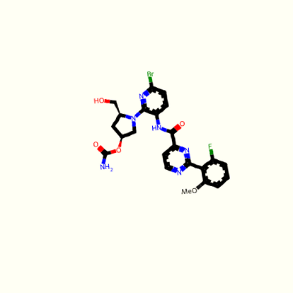 COc1cccc(F)c1-c1nccc(C(=O)Nc2ccc(Br)nc2N2C[C@@H](OC(N)=O)C[C@H]2CO)n1